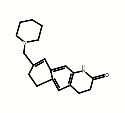 O=C1CCc2cc3c(cc2N1)C=C(CN1CCCCC1)CC3